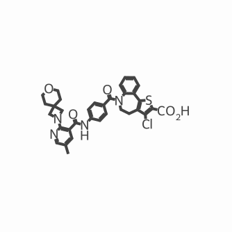 Cc1cnc(N2CC3(CCOCC3)C2)c(C(=O)Nc2ccc(C(=O)N3CCc4c(sc(C(=O)O)c4Cl)-c4ccccc43)cc2)c1